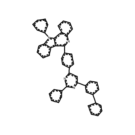 c1ccc(-c2cccc(-c3cc(-c4ccc(-c5nc6ccccc6c6c5c5ccccc5n6-c5ccccc5)cc4)nc(-c4ccccc4)n3)c2)cc1